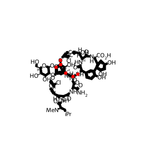 CN[C@H](CC(C)C)C(=O)NC1C(=O)NC(C(N)=O)C(=O)N[C@H]2C(=O)N[C@H]3C(=O)N[C@H](C(=O)N[C@H](C(=O)O)c4cc(O)cc(O)c4-c4cc3ccc4O)[C@H](O)c3ccc(c(Cl)c3)Oc3cc2cc(c3O[C@@H]2O[C@H](CO)[C@@H](O)[C@H](O)[C@H]2O[C@H]2C[C@](C)(N)[C@H](O)[C@H](C)O2)Oc2ccc(cc2Cl)[C@H]1O